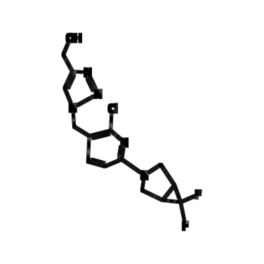 OCc1cn(Cc2ccc(N3CC4C(C3)C4(F)F)nc2Cl)nn1